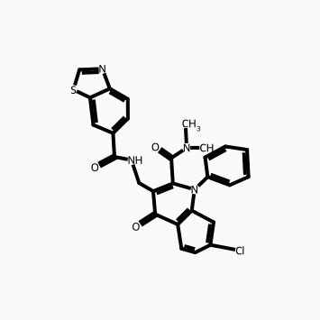 CN(C)C(=O)c1c(CNC(=O)c2ccc3ncsc3c2)c(=O)c2ccc(Cl)cc2n1-c1ccccc1